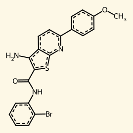 COc1ccc(-c2ccc3c(N)c(C(=O)Nc4ccccc4Br)sc3n2)cc1